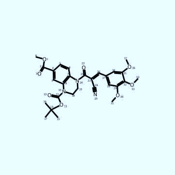 COC(=O)c1ccc2c(c1)N(C(=O)OC(C)(C)C)CCN2C(=O)C(C#N)=Cc1cc(OC)c(OC)c(OC)c1